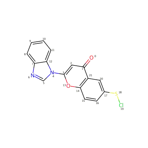 O=c1cc(-n2cnc3ccccc32)oc2ccc(SCl)cc12